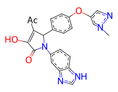 CC(=O)C1=C(O)C(=O)N(c2ccc3[nH]cnc3c2)C1c1ccc(Oc2cnn(C)c2)cc1